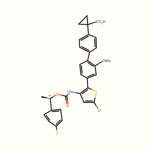 COc1cc(-c2sc(Cl)cc2NC(=O)O[C@H](C)c2ccc(F)cc2)ccc1-c1ccc(C2(C(=O)O)CC2)cc1